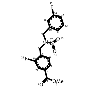 COC(=O)c1ccc(CN(Cc2cccc(F)c2)[SH](=O)=O)c(F)c1